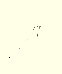 O=c1[nH]c(=O)n([C@H]2O[C@@H](COP(=O)(O)O)C(O)C2O)cc1Br